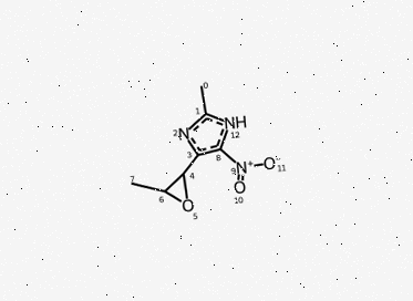 Cc1nc(C2OC2C)c([N+](=O)[O-])[nH]1